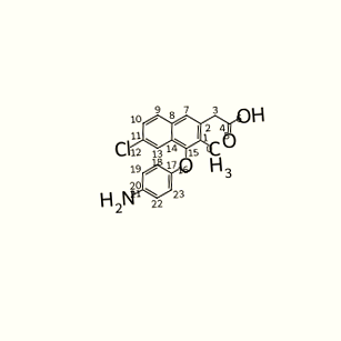 Cc1c(CC(=O)O)cc2ccc(Cl)cc2c1Oc1ccc(N)cc1